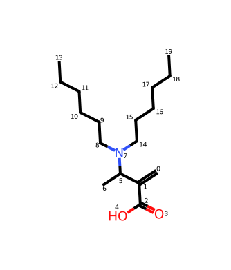 C=C(C(=O)O)C(C)N(CCCCCC)CCCCCC